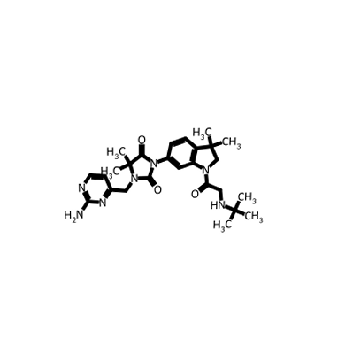 CC(C)(C)NCC(=O)N1CC(C)(C)c2ccc(N3C(=O)N(Cc4ccnc(N)n4)C(C)(C)C3=O)cc21